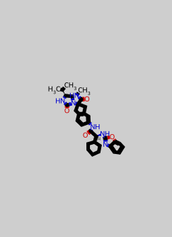 CNC(=O)C1(N2C[C@@H](C(C)C)NC2=O)Cc2ccc(NC(=O)[C@@H](Nc3nc4ccccc4o3)C3CCCCC3)cc2C1